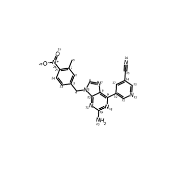 Cc1cc(Cn2cnc3c(-c4cncc(C#N)c4)nc(N)nc32)ccc1[N+](=O)[O-]